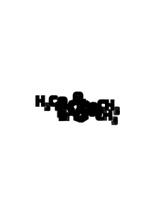 Cc1cnc(C2=C(Br)c3ccccc3N(Cc3ccc(C)c(C)c3)C(=O)C2)o1